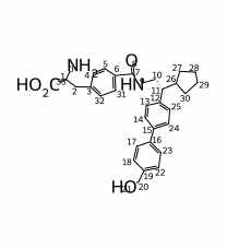 N[C@@H](Cc1ccc(C(=O)NC[C@@H](c2ccc(-c3ccc(CO)cc3)cc2)C2CCCC2)cc1)C(=O)O